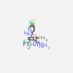 C[C@]12C[C@H]1[C@@](C)(c1cc(NC(=O)c3ccc(Cl)cn3)cc(F)c1F)N=C(N)S2